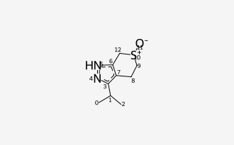 CC(C)c1n[nH]c2c1CC[S+]([O-])C2